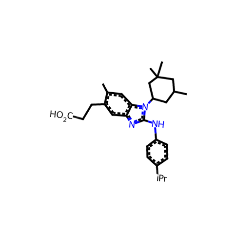 Cc1cc2c(cc1CCC(=O)O)nc(Nc1ccc(C(C)C)cc1)n2C1CC(C)CC(C)(C)C1